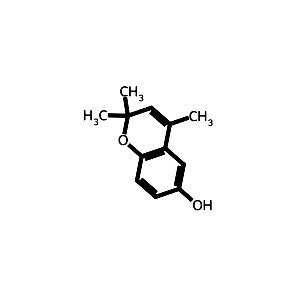 CC1=CC(C)(C)Oc2ccc(O)cc21